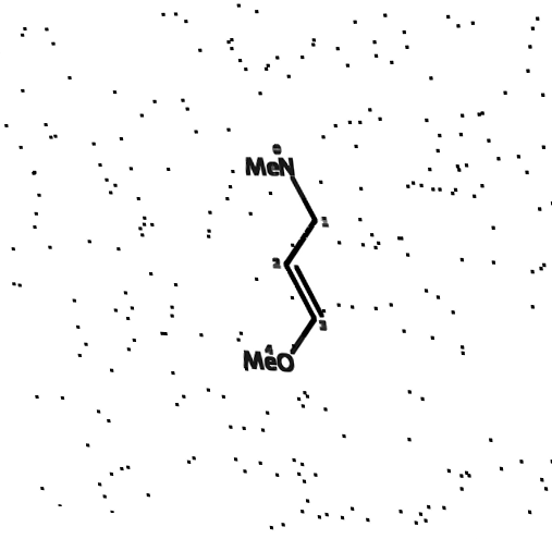 CNCC=COC